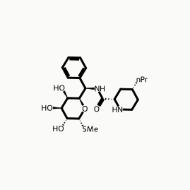 CCC[C@@H]1CCN[C@H](C(=O)N[C@H](c2ccccc2)[C@H]2O[C@H](SC)[C@H](O)[C@@H](O)[C@H]2O)C1